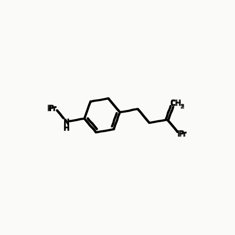 C=C(CCC1=CC=C(NC(C)C)CC1)C(C)C